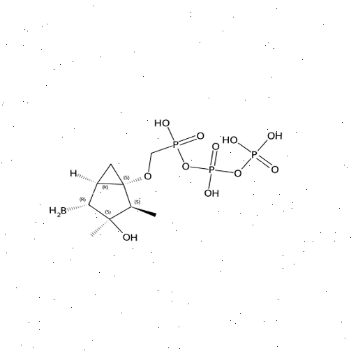 B[C@@H]1[C@H]2C[C@@]2(OCP(=O)(O)OP(=O)(O)OP(=O)(O)O)[C@@H](C)[C@@]1(C)O